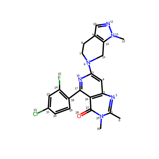 Cc1nc2cc(N3CCc4cnn(C)c4C3)nc(-c3ccc(Cl)cc3F)c2c(=O)n1C